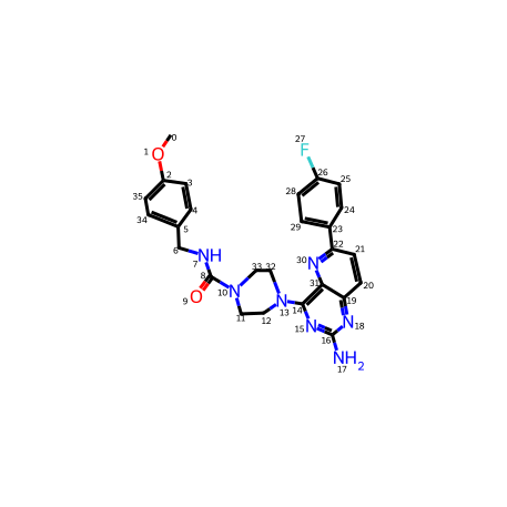 COc1ccc(CNC(=O)N2CCN(c3nc(N)nc4ccc(-c5ccc(F)cc5)nc34)CC2)cc1